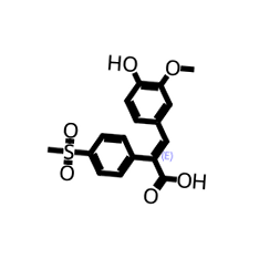 COc1cc(/C=C(/C(=O)O)c2ccc(S(C)(=O)=O)cc2)ccc1O